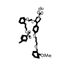 COc1ccccc1COCCCOc1ccc(C2CCN(C(=O)OC(C)(C)C)CC2OCCOc2ccccc2CCCOS(=O)(=O)c2ccc(C)cc2)cc1